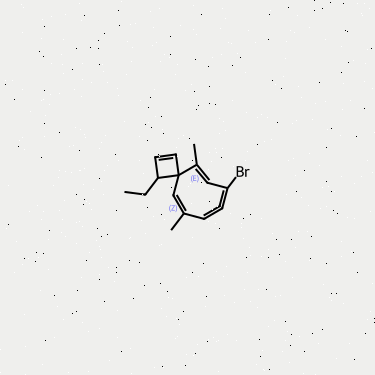 CCC1C=CC12/C=C(/C)C=C=C(Br)/C=C/2C